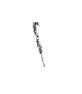 CCCCCCCCCCCCCCCCCCOCCOCCOCCOCCOCCOCCOCCOCCOCCOCCOCCOCCN